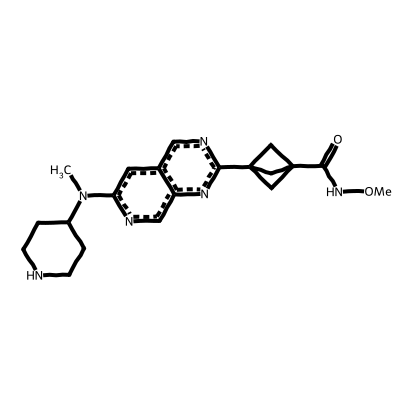 CONC(=O)C12CC(c3ncc4cc(N(C)C5CCNCC5)ncc4n3)(C1)C2